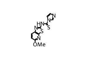 COc1ccc2nc(NC(=S)n3ccnc3)sc2n1